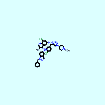 CC(C)(C)N1CCC(n2cc(C(Nc3cc(Cl)c4ncc(C#N)c(Nc5ccc6c(cnn6Cc6ccccc6)c5)c4c3)c3ccc(Cl)cc3)nn2)CC1